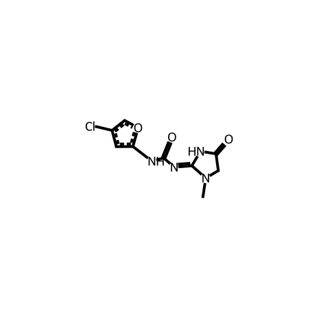 CN1CC(=O)NC1=NC(=O)Nc1cc(Cl)co1